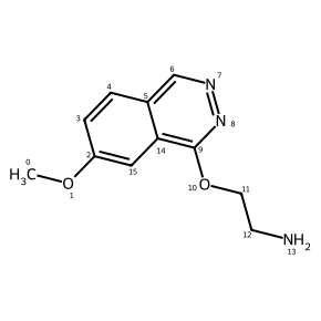 COc1ccc2cnnc(OCCN)c2c1